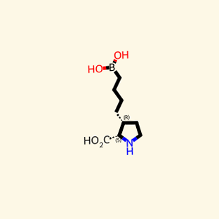 O=C(O)[C@H]1NCC[C@H]1CCCCB(O)O